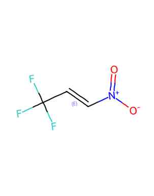 O=[N+]([O-])/C=C/C(F)(F)F